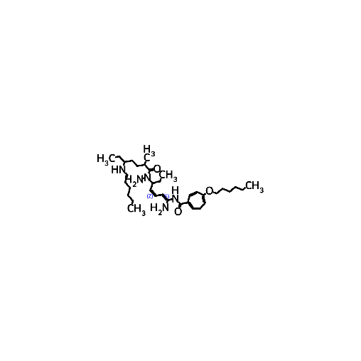 CCCCCCNC(CC)CCC(C)C(=O)N(N)C(/C=C\C=C(/N)NC(=O)C1=CCC=C(OCCCCCC)C=C1)CC